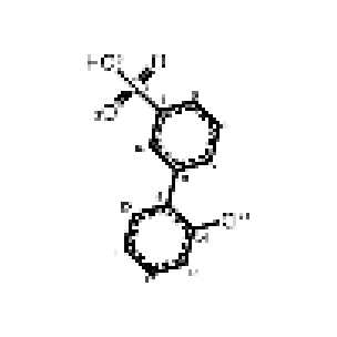 O=S(=O)(O)c1cccc(-c2ccccc2Cl)c1